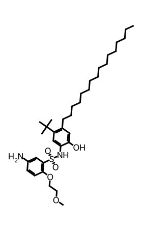 CCCCCCCCCCCCCCCCc1cc(O)c(NS(=O)(=O)c2cc(N)ccc2OCCOC)cc1C(C)(C)C